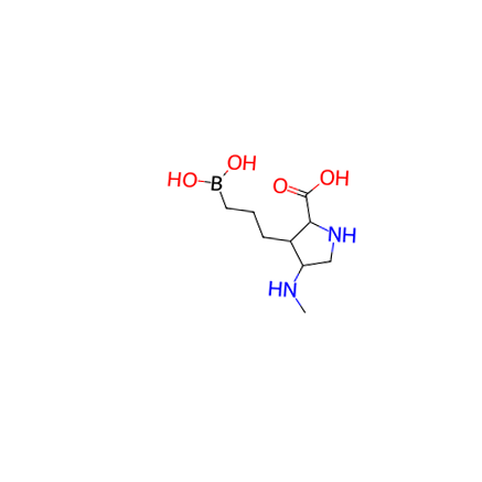 CNC1CNC(C(=O)O)C1CCCB(O)O